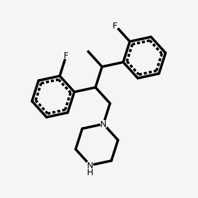 C[C](c1ccccc1F)C(CN1CCNCC1)c1ccccc1F